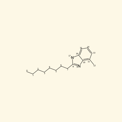 CCCCCCCCC1=Nc2c(C)cccc2[N]1